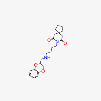 O=C1CC2(CCCC2)CC(=O)N1CCCCNCC1COc2ccccc2O1